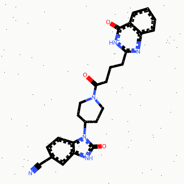 N#Cc1ccc2c(c1)[nH]c(=O)n2C1CCN(C(=O)CCCc2nc3ccccc3c(=O)[nH]2)CC1